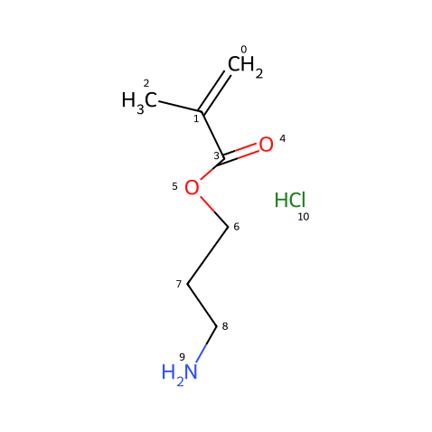 C=C(C)C(=O)OCCCN.Cl